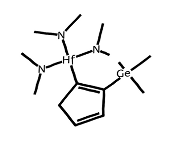 C[N](C)[Hf]([C]1=[C]([Ge]([CH3])([CH3])[CH3])C=CC1)([N](C)C)[N](C)C